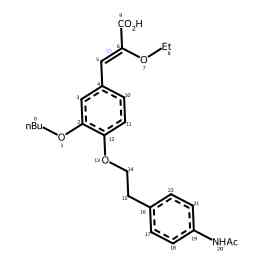 CCCCOc1cc(/C=C(\OCC)C(=O)O)ccc1OCCc1ccc(NC(C)=O)cc1